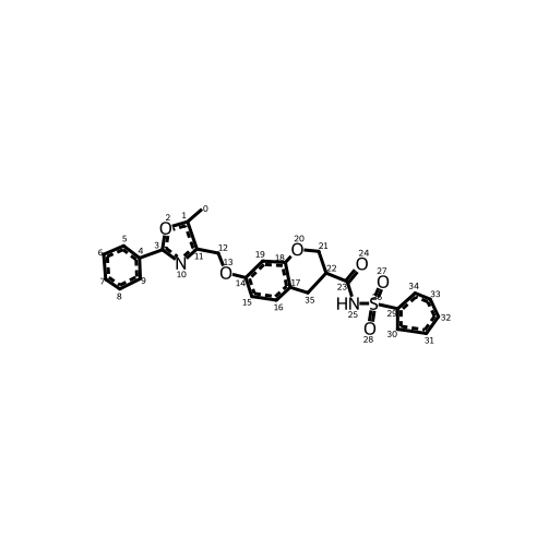 Cc1oc(-c2ccccc2)nc1COc1ccc2c(c1)OCC(C(=O)NS(=O)(=O)c1ccccc1)C2